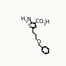 Nc1sc(CCCOCc2ccccc2)cc1C(=O)O